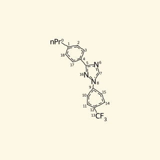 CCCc1ccc(-c2ncn(-c3ccc(C(F)(F)F)cc3)n2)cc1